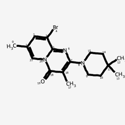 Cc1cc(Br)c2nc(N3CCC(C)(C)CC3)c(C)c(=O)n2c1